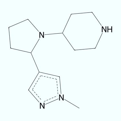 Cn1cc(C2CCCN2C2CCNCC2)cn1